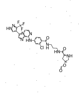 O=CO[C@H]1CN[C@H](C(=O)NCCCNC(=O)c2ccc(Nc3nccn4c(-c5c[nH]nc5C(F)(F)F)cnc34)cc2Cl)C1